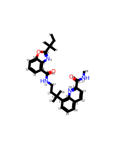 CCC(C)(C)c1nc2c(C(=O)NCCC(C)(C)c3cccc4ccc(C(=O)NC)nc34)cccc2o1